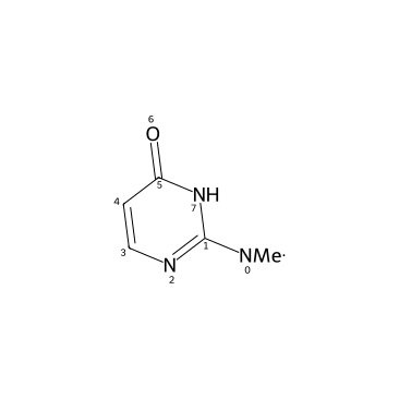 C[N]c1nccc(=O)[nH]1